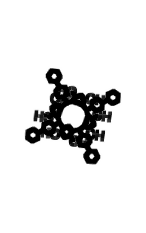 Oc1cc(O)c2cc1C(C1CCC(C3CCCCC3)CC1)c1cc(c(O)cc1O)C(C1CCC(C3CCCCC3)CC1)c1cc(c(O)cc1O)C(C1CCC(C3CCCCC3)CC1)c1cc(c(O)cc1O)C2C1CCC(C2CCCCC2)CC1